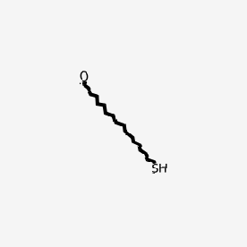 O=[C]CCCCCCCCCCCCCCCCCS